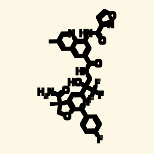 Cc1cnc2c(NC(=O)c3ccon3)cc(C(=O)NCC(O)(c3cc4c(c(-c5ccc(F)cc5)n3)OC[C@]4(C)C(N)=O)C(F)(F)F)cc2c1